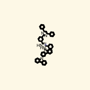 N=C(/N=C(\Nn1c2ccccc2c2cc(-n3c4ccccc4c4ccccc43)ccc21)C1=CC=CCC1)C1C=C(c2nc(-c3ccccc3)cc(-c3ccccc3)n2)C=CC1